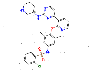 Cc1cc(NS(=O)(=O)c2ccccc2Cl)cc(C)c1Oc1ncccc1-c1ccnc(N[C@H]2CCCNC2)n1